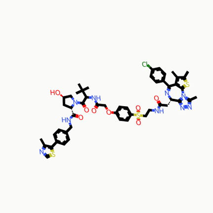 Cc1ncsc1-c1ccc(CNC(=O)[C@@H]2C[C@@H](O)CN2C(=O)C(NC(=O)COc2ccc(S(=O)(=O)CCNC(=O)C[C@@H]3N=C(c4ccc(Cl)cc4)c4c(sc(C)c4C)-n4c(C)nnc43)cc2)C(C)(C)C)cc1